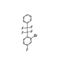 Fc1ccc(C(F)(F)C(F)(F)c2ccccc2)c(Br)c1